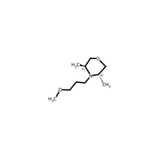 COCCCN1[C@@H](C)COC[C@@H]1C